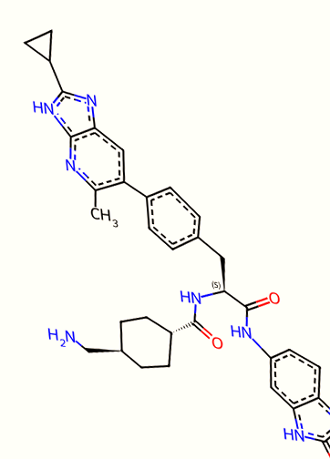 Cc1nc2[nH]c(C3CC3)nc2cc1-c1ccc(C[C@H](NC(=O)[C@H]2CC[C@H](CN)CC2)C(=O)Nc2ccc3[nH]c(=O)[nH]c3c2)cc1